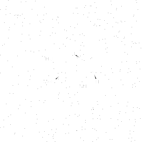 CO[C@@H]1C[C@]2(C[C@H]1O)[C@@H]1CC[C@@H](C1)[C@@H]2N